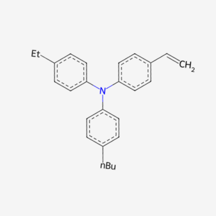 C=Cc1ccc(N(c2ccc(CC)cc2)c2ccc(CCCC)cc2)cc1